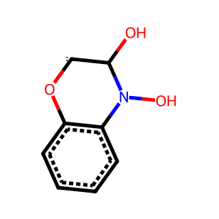 OC1[C]Oc2ccccc2N1O